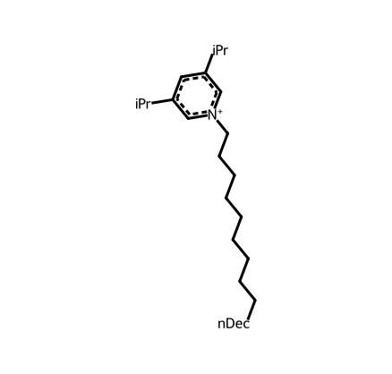 CCCCCCCCCCCCCCCCCCC[n+]1cc(C(C)C)cc(C(C)C)c1